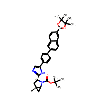 CC(C)(C)OC(=O)N1C2C[C@@H]2C[C@H]1c1ncc(-c2ccc(-c3ccc4cc(B5OC(C)(C)C(C)(C)O5)ccc4c3)cc2)[nH]1